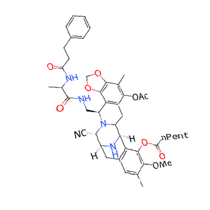 CCCCCC(=O)Oc1c(OC)c(C)cc2c1[C@H]1N[C@@H](C2)[C@H](C#N)N2C1Cc1c(OC(C)=O)c(C)c3c(c1[C@@H]2CNC(=O)C(C)NC(=O)CCc1ccccc1)OCO3